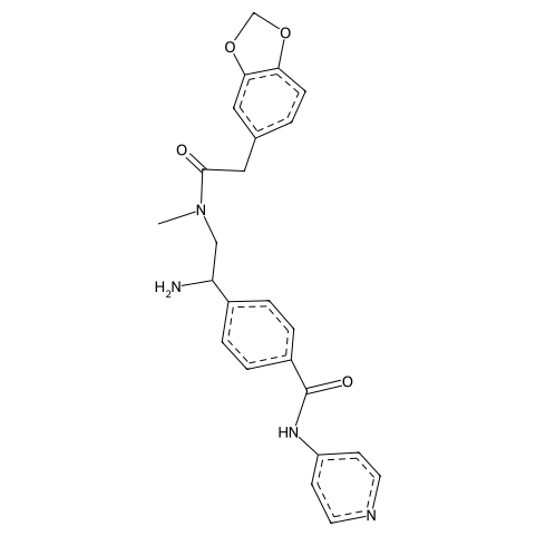 CN(CC(N)c1ccc(C(=O)Nc2ccncc2)cc1)C(=O)Cc1ccc2c(c1)OCO2